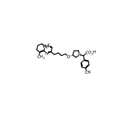 C=C/C(CCCCO[C@@H]1CCN(C(C(=O)O)c2ccc(C#N)cc2)C1)=N\C1=C(C)CCCN1